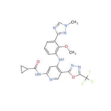 COc1c(Nc2cc(NC(=O)C3CC3)ncc2-c2nnc(C(F)(F)F)o2)cccc1-c1ncn(C)n1